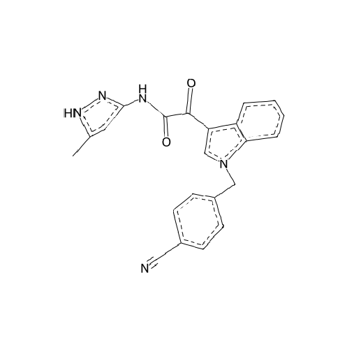 Cc1cc(NC(=O)C(=O)c2cn(Cc3ccc(C#N)cc3)c3ccccc23)n[nH]1